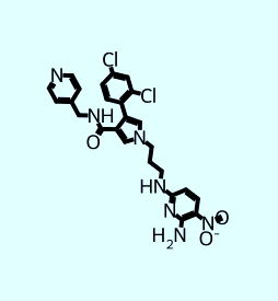 Nc1nc(NCCCn2cc(C(=O)NCc3ccncc3)c(-c3ccc(Cl)cc3Cl)c2)ccc1[N+](=O)[O-]